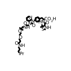 CC(C)CCCNC(=O)CCOCCOC(C)(C)CNC(=O)Cn1c(=O)n(-c2ccc(C[C@H](NC(=O)C3NCSC3(C)C)C(=O)O)cc2)c2ncccc21